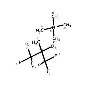 CC([O-])(C(F)(F)F)C(F)(F)F.C[N+](C)(C)C